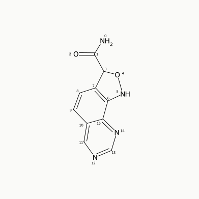 NC(=O)C1ONc2c1ccc1cncnc21